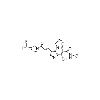 CC(C)Cn1c(=O)c(C(=O)NC2CC2)c(O)n2ncc(/C=C/C(=O)N3CCC(C(F)F)C3)c12